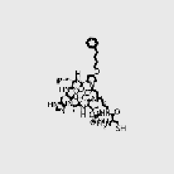 CC(C)C[C@H](NC(=O)[C@@H]1C[C@H](OCCCCc2ccccc2)CN1C(=O)CCCCCNC(=O)C(N)CS)C(=O)N[C@@H](Cc1cnc[nH]1)C(=O)N[C@@H](C)C(=O)N[C@H](C(N)=O)[C@@H](C)OP(=O)(O)O